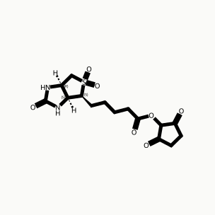 O=C1N[C@H]2[C@H](CS(=O)(=O)[C@H]2CCCCC(=O)OC2C(=O)CCC2=O)N1